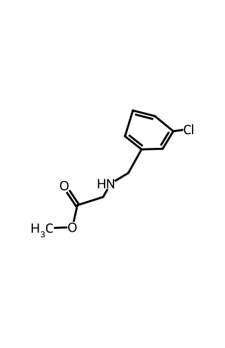 COC(=O)CNCc1cccc(Cl)c1